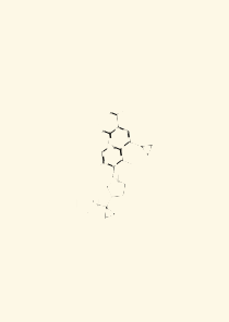 Cc1c(N2CCC(C3(N)CC3)C2)c(F)cn2c(=O)c(C(=O)O)cc(C3CC3)c12